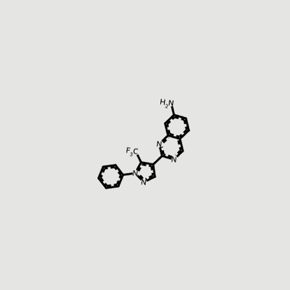 Nc1ccc2cnc(-c3cnn(-c4ccccc4)c3C(F)(F)F)nc2c1